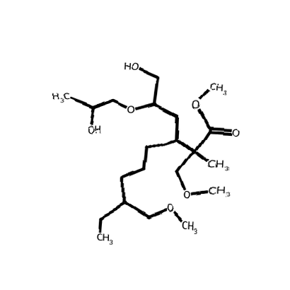 CCC(CCCC(CC(CO)OCC(C)O)C(C)(COC)C(=O)OC)COC